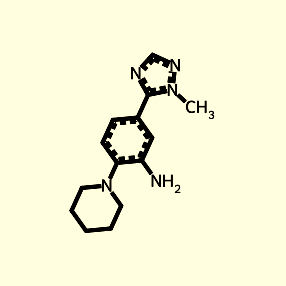 Cn1ncnc1-c1ccc(N2CCCCC2)c(N)c1